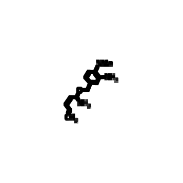 C=C/C=C\C(N)OCc1ccc(NC)c(N)c1